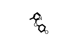 Cc1cccnc1OC1CCC(=O)CC1